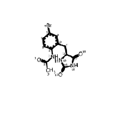 CC(=O)Nc1ccc(Br)cc1CC1NC(=O)NC1=O